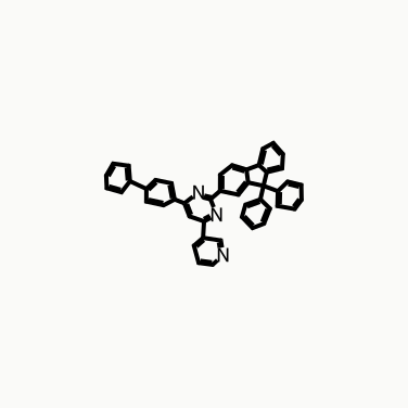 c1ccc(-c2ccc(-c3cc(-c4cccnc4)nc(-c4ccc5c(c4)C(c4ccccc4)(c4ccccc4)c4ccccc4-5)n3)cc2)cc1